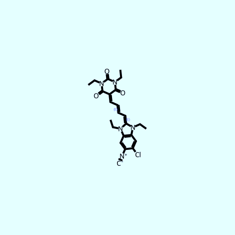 [C-]#[N+]c1cc2c(cc1Cl)N(CC)/C(=C/C=C/C=C1C(=O)N(CC)C(=O)N(CC)C1=O)N2CC